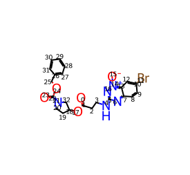 O=C(CCNc1nc2ccc(Br)cc2[n+]([O-])n1)OC1CCN(C(=O)OCc2ccccc2)C1